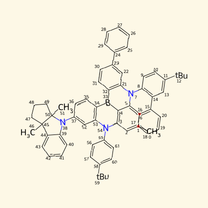 Cc1cc2c3c(c1)N(c1ccc(C(C)(C)C)cc1-c1ccccc1)c1cc(-c4ccccc4)ccc1B3c1ccc(N3c4ccccc4C4(C)CCCC34C)cc1N2c1ccc(C(C)(C)C)cc1